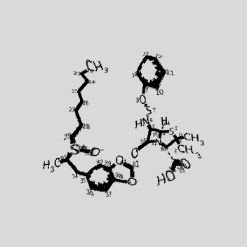 CC1(C)S[C@@H]2C(NSOc3ccccc3)C(=O)N2[C@H]1C(=O)O.CCCCCCCC[S+]([O-])C(C)Cc1ccc2c(c1)OCO2